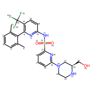 Cc1cccc(C)c1-c1nc(NS(=O)(=O)c2cccc(N3CCN[C@H](CO)C3)n2)ccc1C(F)(F)F